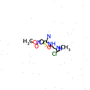 CCOC(=O)N1CCc2c(sc(NC(=O)/C=C/c3nn(C)cc3Cl)c2C#N)C1